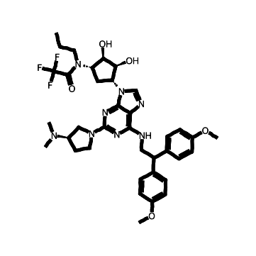 CCCN(C(=O)C(F)(F)F)[C@H]1C[C@@H](n2cnc3c(NCC(c4ccc(OC)cc4)c4ccc(OC)cc4)nc(N4CC[C@@H](N(C)C)C4)nc32)[C@H](O)[C@@H]1O